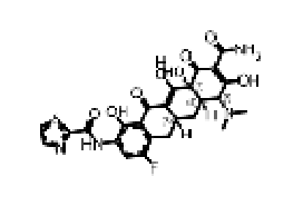 CN(C)[C@@H]1C(O)=C(C(N)=O)C(=O)[C@@]2(O)C(O)=C3C(=O)c4c(O)c(NC(=O)c5nccs5)cc(F)c4C[C@H]3C[C@@H]12